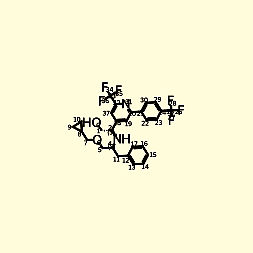 OC[C@@H](N[C@H](COCC1CC1)Cc1ccccc1)c1cc(-c2ccc(C(F)(F)F)cc2)nc(C(F)(F)F)c1